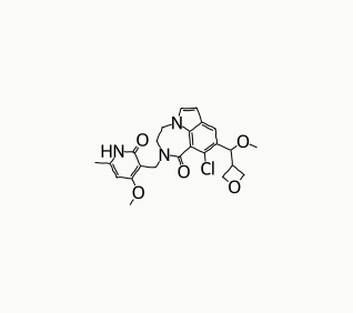 COc1cc(C)[nH]c(=O)c1CN1CCn2ccc3cc(C(OC)C4COC4)c(Cl)c(c32)C1=O